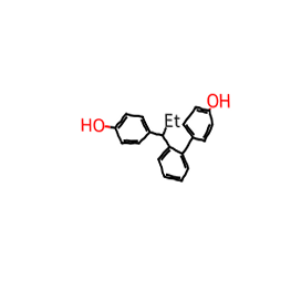 CCC(c1ccc(O)cc1)c1ccccc1-c1ccc(O)cc1